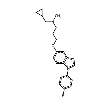 CN(CCCOc1ccc2c(ccn2-c2ccc(F)cc2)c1)CC1CC1